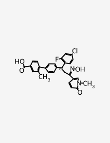 Cc1cc(C(=O)O)ccc1-c1ccc([C@H](CC(=NO)c2ccc(=O)n(C)c2)c2ccc(Cl)cc2F)cc1